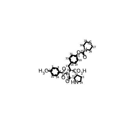 Cc1ccc(S(=O)(=O)N(C(=O)[C@@H]2CCCN2)[C@@H](Cc2ccc(OC(=O)N3CCSCC3)cc2)C(=O)O)cc1